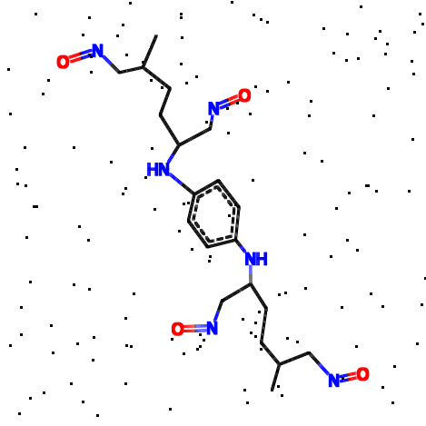 CC(CCC(CN=O)Nc1ccc(NC(CCC(C)CN=O)CN=O)cc1)CN=O